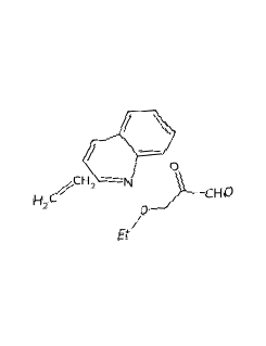 C=C.CCOCC(=O)C=O.c1ccc2ncccc2c1